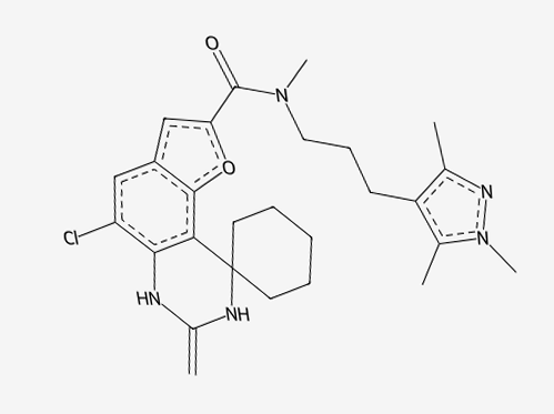 C=C1Nc2c(Cl)cc3cc(C(=O)N(C)CCCc4c(C)nn(C)c4C)oc3c2C2(CCCCC2)N1